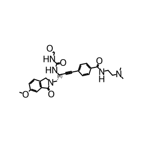 COc1ccc2c(c1)C(=O)N(C[C@@H](C#Cc1ccc(C(=O)NCCN(C)C)cc1)NC(=O)NC=O)C2